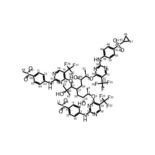 C[C@@H](Oc1nc(Nc2ccc(S(C)(=O)=O)cc2)ncc1C(F)(F)F)[C@H](O)CC(C[C@@H](O)[C@@H](C)Oc1nc(Nc2ccc(S(=O)(=O)C3CC3)cc2)ncc1C(F)(F)F)C(Oc1nc(Nc2ccc(S(C)(=O)=O)cc2)ncc1C(F)(F)F)C(C)(C)O